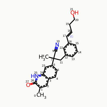 Cc1cc2ccc(C(C)(C#N)Cc3cccc(/C=C/CCO)c3)cc2[nH]c1=O